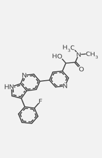 CN(C)C(=O)C(O)c1cncc(-c2cnc3[nH]cc(-c4ccccc4F)c3c2)c1